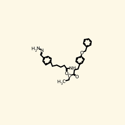 CCOC(=O)C(Cc1ccc(OCc2ccccc2)cc1)NC(=O)CCCCc1ccc(C=NN)cc1